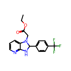 CCOC(=O)CN1c2cccnc2NC1c1ccc(C(F)(F)F)cc1